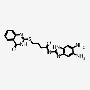 Nc1cc2nc(NC(=O)CCCSc3nc4ccccc4c(=O)[nH]3)[nH]c2cc1N